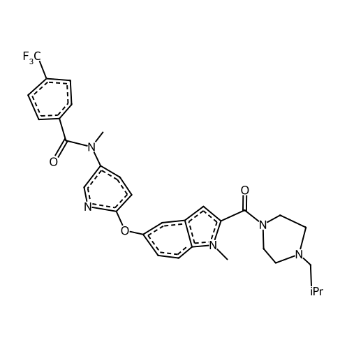 CC(C)CN1CCN(C(=O)c2cc3cc(Oc4ccc(N(C)C(=O)c5ccc(C(F)(F)F)cc5)cn4)ccc3n2C)CC1